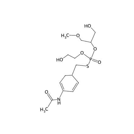 COCC(CO)OP(=O)(OCCO)SCC1C=CC(NC(C)=O)=CC1